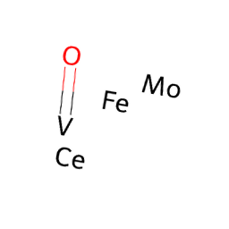 [Ce].[Fe].[Mo].[O]=[V]